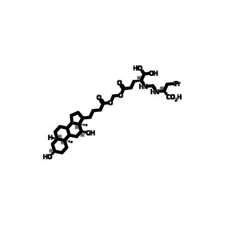 CC(C)C[C@H](NCN[C@@H](CCC(=O)OCOC(=O)CCCC1CCC2C3CC[C@@H]4C[C@H](O)CC[C@]4(C)C3C[C@H](O)[C@]12C)C(O)O)C(=O)O